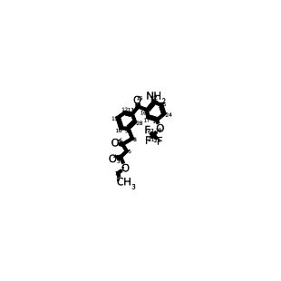 CCOC(=O)CC(=O)Cc1cccc(C(=O)c2cc(OC(F)(F)F)ccc2N)c1